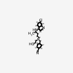 CC(CCCN(CCO)Cc1ccc(C#N)cc1)Nc1ccnc2cc(Cl)ccc12